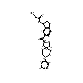 CC(C)CC(=O)NC1CCc2ccc(C(=O)N3CCC4(CCN(c5ccncc5)CC4)C3)cc21